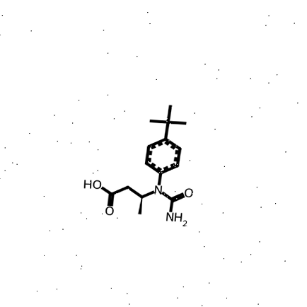 C[C@@H](CC(=O)O)N(C(N)=O)c1ccc(C(C)(C)C)cc1